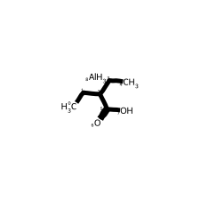 CCC(CC)C(=O)O.[AlH3]